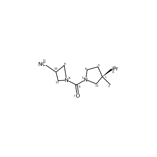 CC(C)[C@]1(C)CCN(C(=O)N2CC(C#N)C2)C1